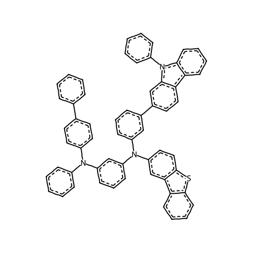 c1ccc(-c2ccc(N(c3ccccc3)c3cccc(N(c4cccc(-c5ccc6c7ccccc7n(-c7ccccc7)c6c5)c4)c4ccc5sc6ccccc6c5c4)c3)cc2)cc1